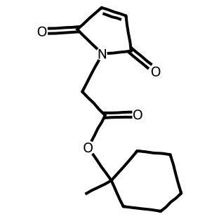 CC1(OC(=O)CN2C(=O)C=CC2=O)CCCCC1